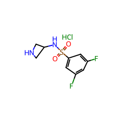 Cl.O=S(=O)(NC1CNC1)c1cc(F)cc(F)c1